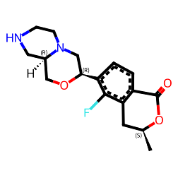 C[C@H]1Cc2c(ccc([C@@H]3CN4CCNC[C@@H]4CO3)c2F)C(=O)O1